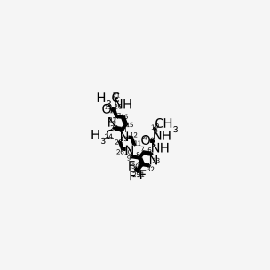 CCNC(=O)Nc1cc(CN2CCN(c3ccc(C(=O)NC)nc3C)CC2)c(C(F)(F)F)cn1